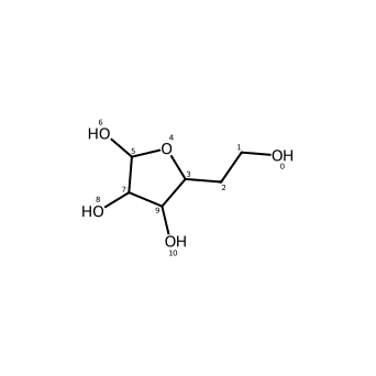 OCCC1OC(O)C(O)C1O